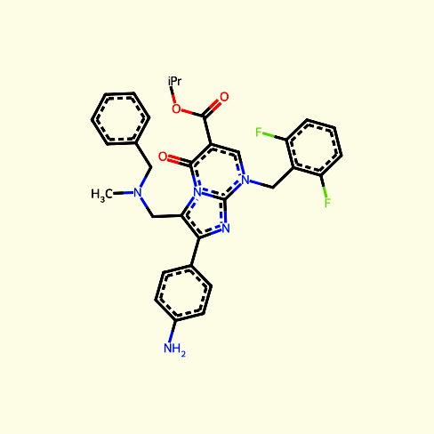 CC(C)OC(=O)c1cn(Cc2c(F)cccc2F)c2nc(-c3ccc(N)cc3)c(CN(C)Cc3ccccc3)n2c1=O